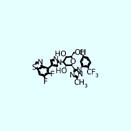 Cc1nc([C@@H]2O[C@H](CO)[C@H](O)[C@H](n3cc(-c4c(F)c(F)cc5scnc45)cn3)[C@H]2O)n(-c2cc(Cl)ccc2C(F)(F)F)n1